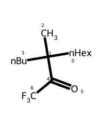 CCCCCCC(C)(CCCC)C(=O)C(F)(F)F